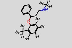 [2H]c1c([2H])c([2H])c(C([2H])([2H])[2H])c(OC(CCNC([2H])([2H])[2H])c2ccccc2)c1[2H]